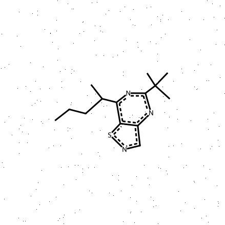 CCCC(C)c1nc(C(C)(C)C)nc2cnsc12